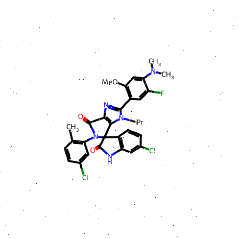 COc1cc(N(C)C)c(F)cc1-c1nc2c(n1C(C)C)C1(C(=O)Nc3cc(Cl)ccc31)N(c1cc(Cl)ccc1C)C2=O